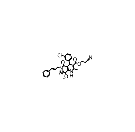 COC(OC)C1=C(C(=O)NCC=Cc2ccccc2)C(c2cccc(Cl)c2)C(C(=O)OCCC#N)=C(C)N1